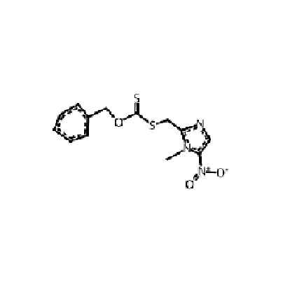 Cn1c([N+](=O)[O-])cnc1CSC(=S)OCc1ccccc1